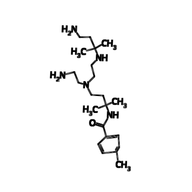 Cc1ccc(C(=O)NC(C)(C)CCN(CCN)CCNC(C)(C)CCN)cc1